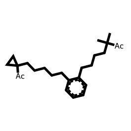 CC(=O)C(C)(C)CCCCc1ccccc1CCCCCC1(C(C)=O)CC1